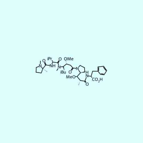 CC[C@H](C)C([C@@H](CC(=O)N1CCC[C@H]1[C@H](OC)[C@@H](C)C(=O)N[C@@H](Cc1ccccc1)C(=O)O)OC)N(C)C(=O)[C@@H](NC(=O)[C@@]1(C)CCCN1C)C(C)C